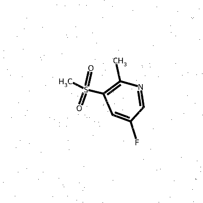 Cc1ncc(F)cc1S(C)(=O)=O